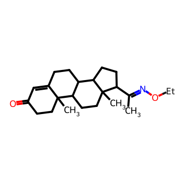 CCO/N=C(\C)C1CCC2C3CCC4=CC(=O)CCC4(C)C3CCC12C